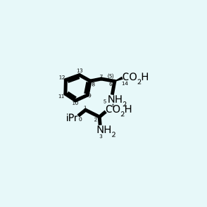 CC(C)CC(N)C(=O)O.N[C@@H](Cc1ccccc1)C(=O)O